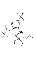 CC(C)CCC1(C(=O)Nc2cc(C(F)(F)F)ccc2SC(=O)C(C)(C)C)CCCCC1